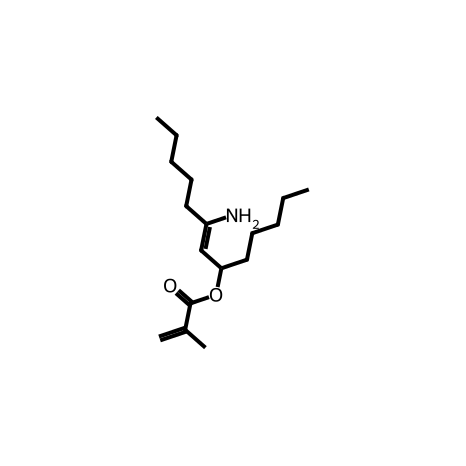 C=C(C)C(=O)OC(C=C(N)CCCCC)CCCCC